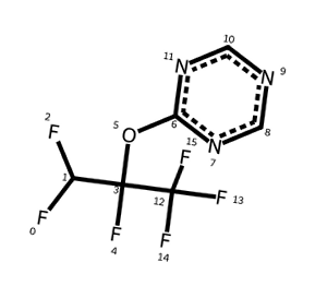 FC(F)C(F)(Oc1ncncn1)C(F)(F)F